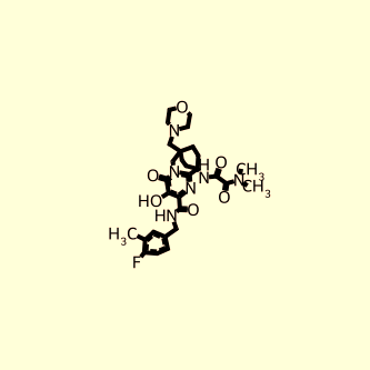 Cc1cc(CNC(=O)c2nc3n(c(=O)c2O)CC2(CN4CCOCC4)CCC3(NC(=O)C(=O)N(C)C)CC2)ccc1F